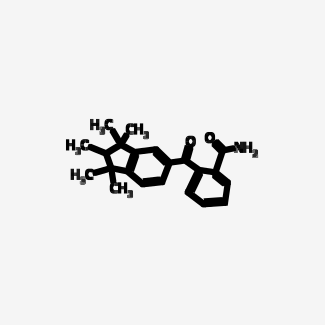 CC1C(C)(C)c2ccc(C(=O)c3ccccc3C(N)=O)cc2C1(C)C